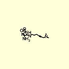 CN(C)CC#CCCCNC1=NS(=O)(=O)N=C1N